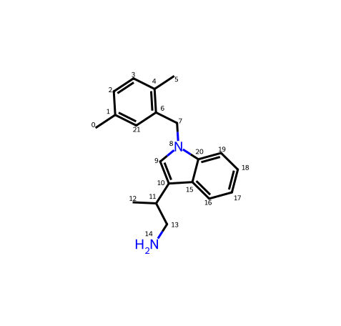 Cc1ccc(C)c(Cn2cc(C(C)CN)c3ccccc32)c1